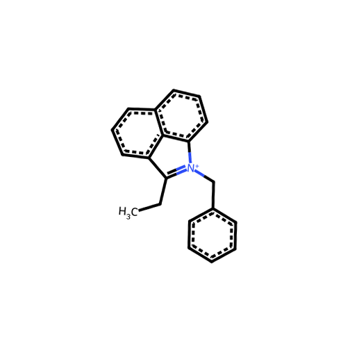 CCC1=[N+](Cc2ccccc2)c2cccc3cccc1c23